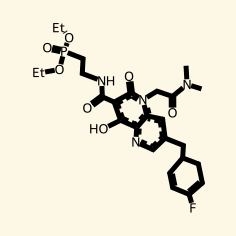 CCOP(=O)(CCNC(=O)c1c(O)c2ncc(CC3C=CC(F)=CC3)cc2n(CC(=O)N(C)C)c1=O)OCC